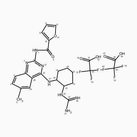 Cc1ccc2nc(NC(=O)c3ccco3)nc(NC3CCCCC3NC(=N)N)c2c1.O=C(O)C(F)(F)F.O=C(O)C(F)(F)F